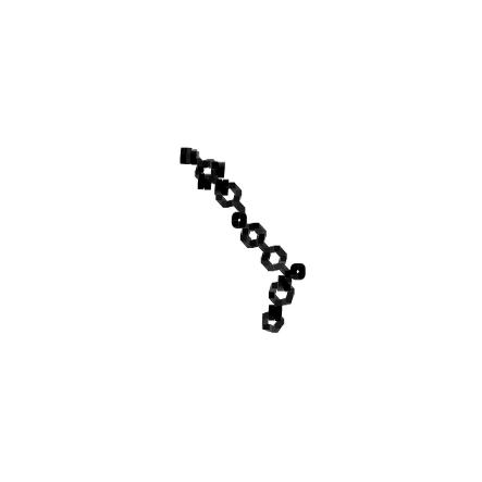 CCc1cnc(N2CCC(COc3ccc(C4=CCC(C(=O)N5CCC(N6CCCC6)CC5)CC4)cc3)CC2)nc1